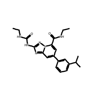 CCNC(=O)Nc1nc2cc(-c3cccc(C(C)C)c3)cc(C(=O)NCC)n2n1